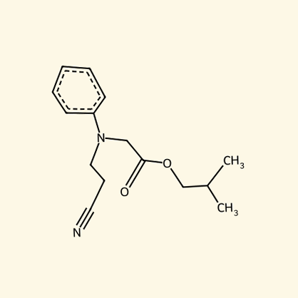 CC(C)COC(=O)CN(CCC#N)c1ccccc1